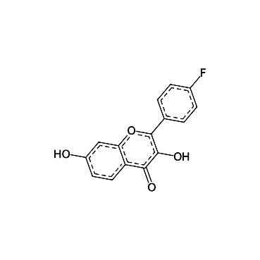 O=c1c(O)c(-c2ccc(F)cc2)oc2cc(O)ccc12